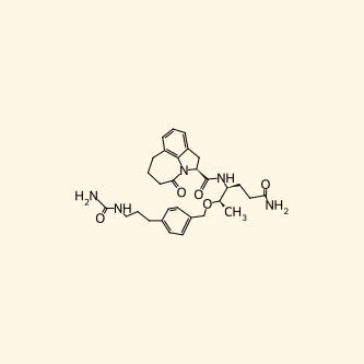 C[C@@H](OCc1ccc(CCCNC(N)=O)cc1)[C@H](CCC(N)=O)NC(=O)[C@@H]1Cc2cccc3c2N1C(=O)CCC3